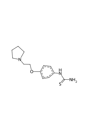 NC(=S)Nc1ccc(OCCN2CCCC2)cc1